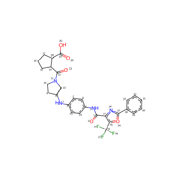 O=C(Nc1ccc(NC2CCN(C(=O)C3CCCC3C(=O)O)C2)cc1)c1nc(-c2ccccc2)oc1C(F)(F)F